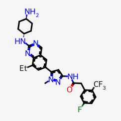 CCc1cc(-c2cc(NC(=O)Cc3cc(F)ccc3C(F)(F)F)nn2C)cc2cnc(N[C@H]3CC[C@H](N)CC3)nc12